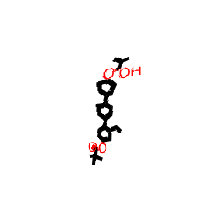 C=C(C)C(O)Oc1ccc(-c2ccc(-c3ccc(OC(=O)C(C)(C)C)cc3CC)cc2)cc1